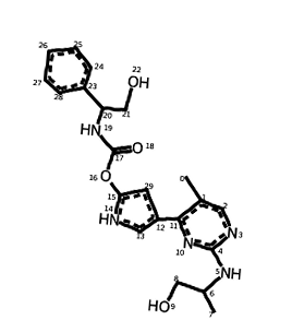 Cc1cnc(NC(C)CO)nc1-c1c[nH]c(OC(=O)NC(CO)c2ccccc2)c1